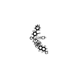 Cc1cc(C(=O)N2CCN(S(=O)(=O)c3ccc4cc(Cl)ccc4c3)CC2)ccc1-c1ccncc1.Cl